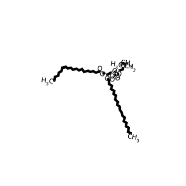 CCCCCC/C=C\CCCCCCCCCCCC(=O)OC[C@H](COP(=O)([O-])OCC[N+](C)(C)C)OC(=O)CCCCCCCCCCCCCCCCCCCCC